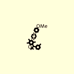 COc1ccc(N2CCN(c3c(C)c(C)c4c(c3C)C(c3cccc(C)c3)C(C)(C)O4)CC2)cc1